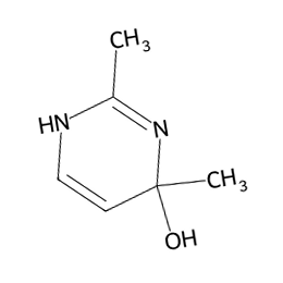 CC1=NC(C)(O)C=CN1